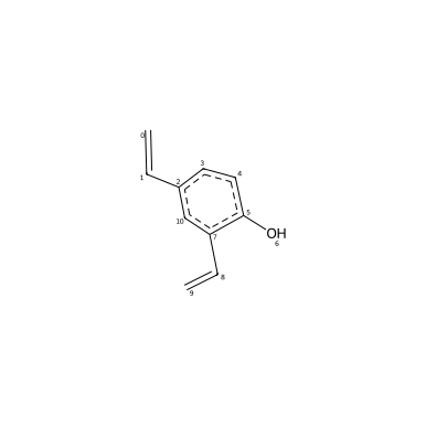 C=Cc1ccc(O)c(C=C)c1